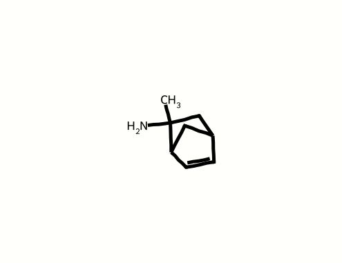 CC1(N)CC2C=CC1C2